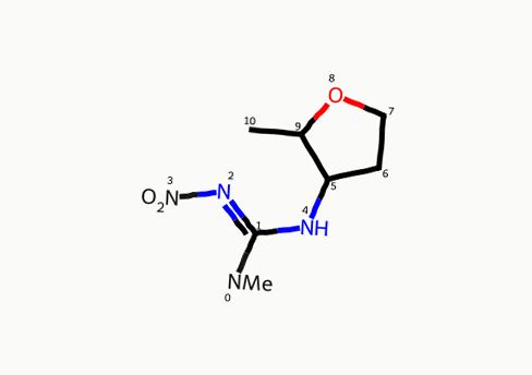 CNC(=N[N+](=O)[O-])NC1CCOC1C